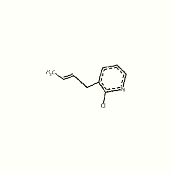 CC=CCc1cccnc1Cl